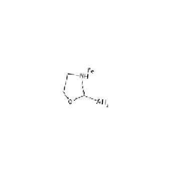 [AlH2][CH]1NCCO1.[Fe]